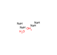 O.O.[NaH].[NaH].[NaH].[NaH]